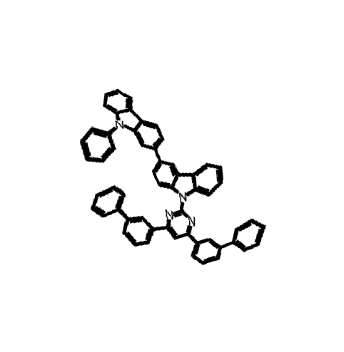 c1ccc(-c2cccc(-c3cc(-c4cccc(-c5ccccc5)c4)nc(-n4c5ccccc5c5cc(-c6ccc7c8ccccc8n(-c8ccccc8)c7c6)ccc54)n3)c2)cc1